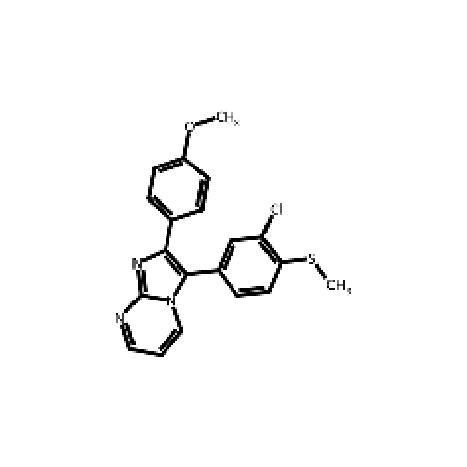 COc1ccc(-c2nc3ncccn3c2-c2ccc(SC)c(Cl)c2)cc1